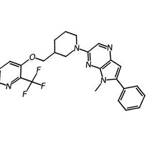 Cn1c(-c2ccccc2)cc2ncc(N3CCCC(COc4cccnc4C(F)(F)F)C3)nc21